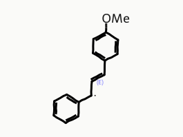 COc1ccc(/C=C/[CH]c2ccccc2)cc1